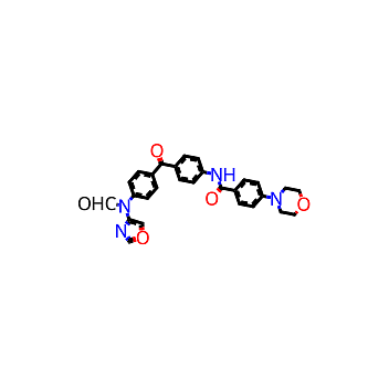 O=CN(c1ccc(C(=O)c2ccc(NC(=O)c3ccc(N4CCOCC4)cc3)cc2)cc1)c1cocn1